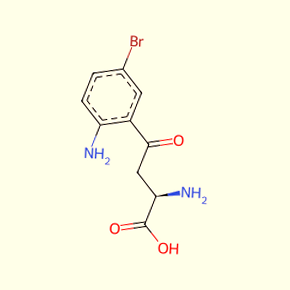 Nc1ccc(Br)cc1C(=O)C[C@@H](N)C(=O)O